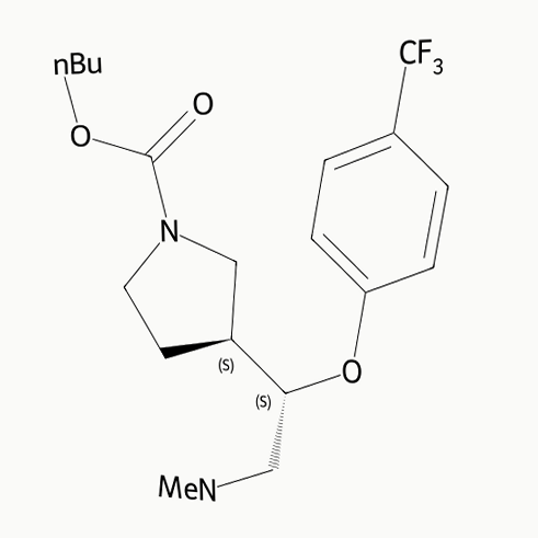 CCCCOC(=O)N1CC[C@H]([C@@H](CNC)Oc2ccc(C(F)(F)F)cc2)C1